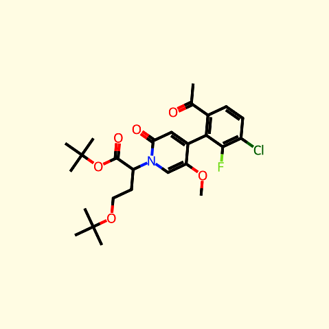 COc1cn(C(CCOC(C)(C)C)C(=O)OC(C)(C)C)c(=O)cc1-c1c(C(C)=O)ccc(Cl)c1F